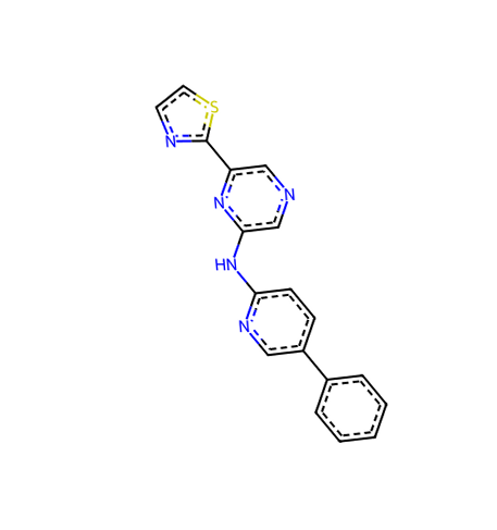 c1ccc(-c2ccc(Nc3cncc(-c4nccs4)n3)nc2)cc1